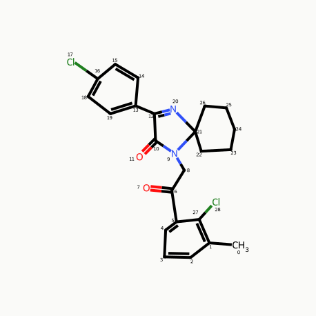 Cc1cccc(C(=O)CN2C(=O)C(c3ccc(Cl)cc3)=NC23CCCCC3)c1Cl